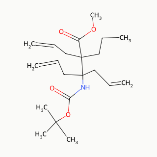 C=CCC(CC=C)(NC(=O)OC(C)(C)C)C(CC=C)(CCC)C(=O)OC